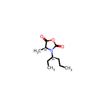 CCC[C@@H](CC)N1C(=O)OC(=O)[C@@H]1C